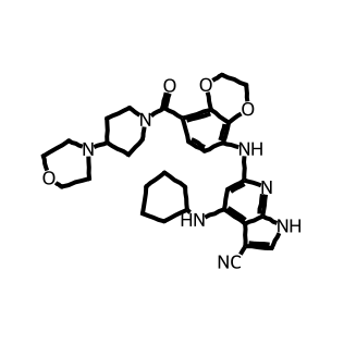 N#Cc1c[nH]c2nc(Nc3ccc(C(=O)N4CCC(N5CCOCC5)CC4)c4c3OCCO4)cc(NC3CCCCC3)c12